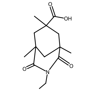 CCN1C(=O)C2(C)CC(C)(C(=O)O)CC(C)(C2)C1=O